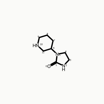 O=C1NCCN1C1CCCNC1